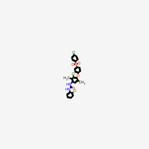 Cc1cc(NC(=O)Nc2ccccc2Cl)c(C)c(Cl)c1Oc1ccc(S(=O)(=O)c2ccc(Cl)cc2)cc1